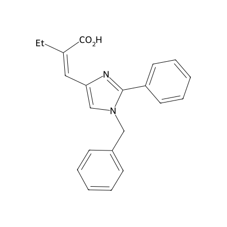 CCC(=Cc1cn(Cc2ccccc2)c(-c2ccccc2)n1)C(=O)O